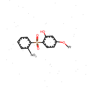 CC(C)Oc1ccc(S(=O)(=O)c2ccccc2[N+](=O)[O-])c(O)c1